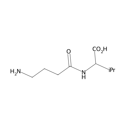 CC(C)C(NC(=O)CCCN)C(=O)O